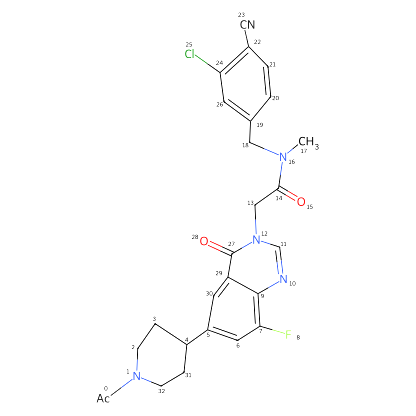 CC(=O)N1CCC(c2cc(F)c3ncn(CC(=O)N(C)Cc4ccc(C#N)c(Cl)c4)c(=O)c3c2)CC1